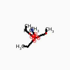 CCCC/C=C\CCCCCCCC(=O)OCC(COC(=O)CCCCCCC/C=C\CCCC)(COC(=O)CCCCCCC/C=C\CCCC)COC(=O)CCCCN(C)C